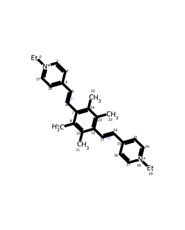 CC[n+]1ccc(/C=C/c2c(C)c(C)c(/C=C/c3cc[n+](CC)cc3)c(C)c2C)cc1